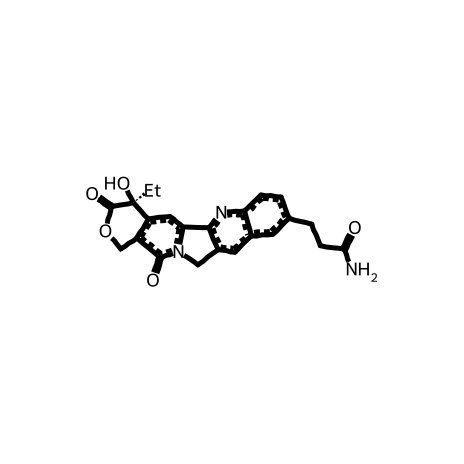 CC[C@@]1(O)C(=O)OCc2c1cc1n(c2=O)Cc2cc3cc(CCC(N)=O)ccc3nc2-1